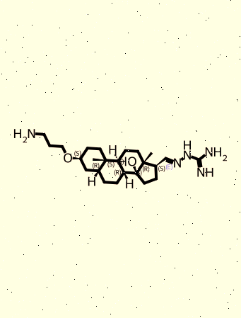 C[C@]12CC[C@H](OCCCN)C[C@H]1CC[C@@H]1[C@@H]2CC[C@]2(C)[C@@H](/C=N/NC(=N)N)CC[C@]12O